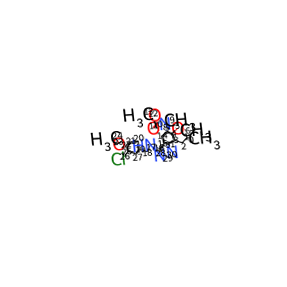 CCCc1c(OC)c(N(C)C(=O)OC)cc2c(NCc3ccc(OC)c(Cl)c3)ncnc12